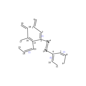 C=C/C=C(N=NC(/C=C\C)=C/C)\C(/C=C\C)=C(C)C=C